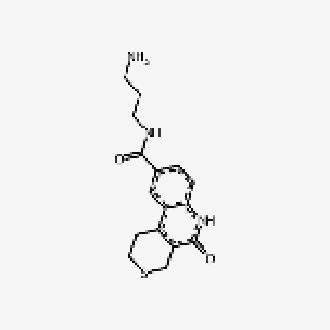 NCCCNC(=O)c1ccc2[nH]c(=O)c3c(c2c1)CCSC3